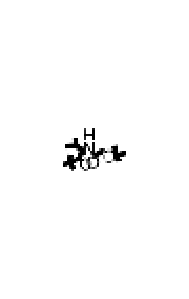 CC(C)[C@H](NC(=O)COC(C)(C)C)C(=O)C(C)(C)C